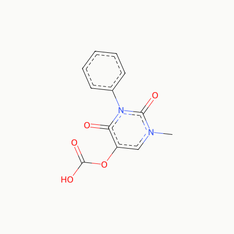 Cn1cc(OC(=O)O)c(=O)n(-c2ccccc2)c1=O